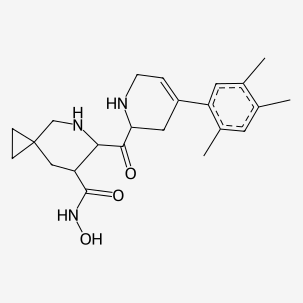 Cc1cc(C)c(C2=CCNC(C(=O)C3NCC4(CC4)CC3C(=O)NO)C2)cc1C